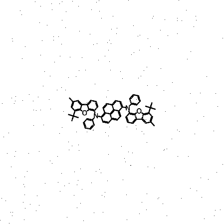 Cc1cc(C(C)(C)C)c2oc3c(N(c4ccccc4)c4ccc5ccc6c(N(c7ccccc7)c7cccc8c7oc7c(C(C)(C)C)cc(C)cc78)ccc7ccc4c5c76)cccc3c2c1